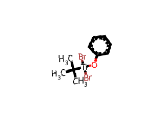 C[C](C)(C)[Ti]([Br])([Br])[O]c1ccccc1